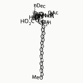 CCCCCCCCCCCCCCCCCCCC(=O)N[C@@H](CCC(=O)O)C(=O)N[C@@H](CCC(=O)O)C(=O)N[C@H](C(=O)N[C@@H](CCCCNC(=O)CCOCCOCCOCCOCCOCCOCCOCCOCCOCCOCCOCCOCCOCCOCCOCCOC)C(=O)N1CCN(c2ccc3ncn(CC(C)=O)c(=O)c3c2)CC1)[C@@H](C)CC